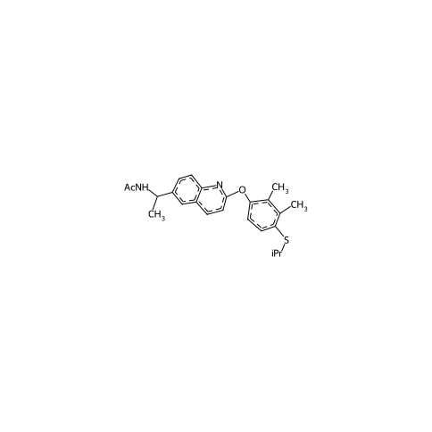 CC(=O)NC(C)c1ccc2nc(Oc3ccc(SC(C)C)c(C)c3C)ccc2c1